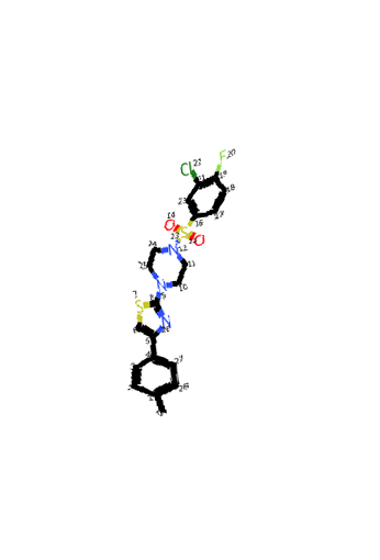 Cc1ccc(-c2csc(N3CCN(S(=O)(=O)c4ccc(F)c(Cl)c4)CC3)n2)cc1